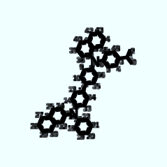 CC(C)c1ccc(N(c2ccc(-c3ccc(N(c4ccccc4)c4ccc5ccccc5c4)cc3)cc2)c2cccc3ccccc23)cc1